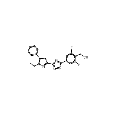 CCN1N=C(c2nc(-c3cc(F)c(CO)c(F)c3)no2)CC1c1ccccc1